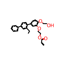 C=CC(=O)OCCOc1cc(-c2ccc(-c3ccccc3)cc2CC)ccc1OCCO